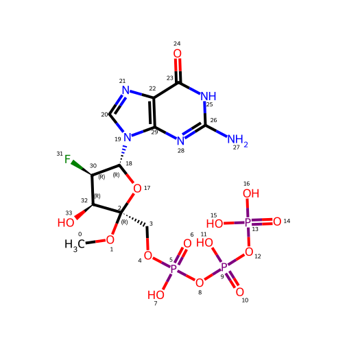 CO[C@]1(COP(=O)(O)OP(=O)(O)OP(=O)(O)O)O[C@@H](n2cnc3c(=O)[nH]c(N)nc32)[C@H](F)[C@@H]1O